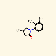 O=C(O)C1CC(=O)N(c2cccc(C(F)(F)F)c2C(F)(F)F)C1